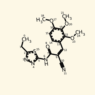 CCc1nnc(NC(=O)C(C#N)=Cc2ccc(OC)c(OC)c2OC)s1